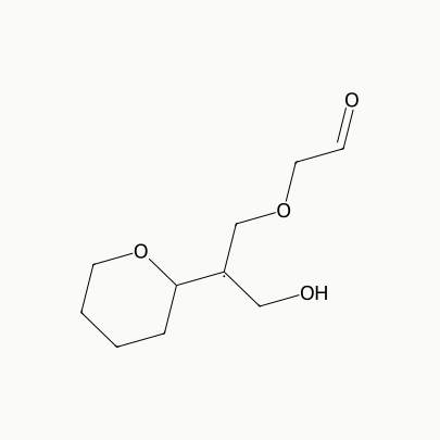 O=CCOC[C](CO)C1CCCCO1